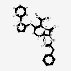 O=C(Cc1ccccc1)N[C@@H]1C(=O)N2C(C(=O)O)=C(Sc3ccnn3-c3ccccn3)CS[C@@H]12